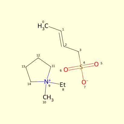 C/C=C/CS(=O)(=O)[O-].CC[N+]1(C)CCCC1